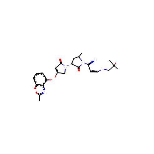 Cc1nc2c(OC3=CC(=O)N([C@H]4CC(C)N(C(=N)/C=C\NCC(C)(C)O)C4=O)C3)cccc2o1